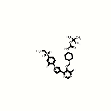 CCS(=O)(=O)c1ccc(-n2cc(-c3ncnc(Cl)c3OC[C@H]3CC[C@@H](NC(=O)OC(C)(C)C)CC3)cn2)c(F)c1